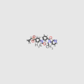 CCCN(C(=O)c1cccc(N(C(C)=O)c2ccc(S(=O)(=O)CC3CC3)cc2)c1)c1cccnc1